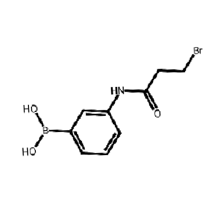 O=C(CCBr)Nc1cccc(B(O)O)c1